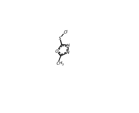 Cc1nnc(SCl)o1